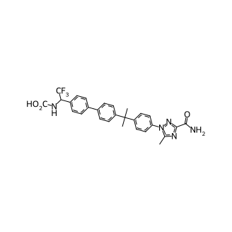 Cc1nc(C(N)=O)nn1-c1ccc(C(C)(C)c2ccc(-c3ccc(C(NC(=O)O)C(F)(F)F)cc3)cc2)cc1